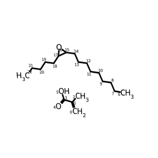 C=C(C)C(=O)O.CCCCCCCCCC1OC1CCCCC